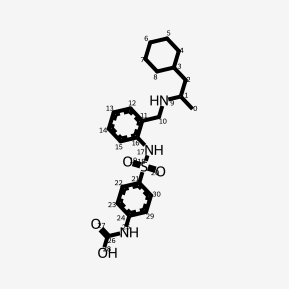 CC(CC1CCCCC1)NCc1ccccc1NS(=O)(=O)c1ccc(NC(=O)O)cc1